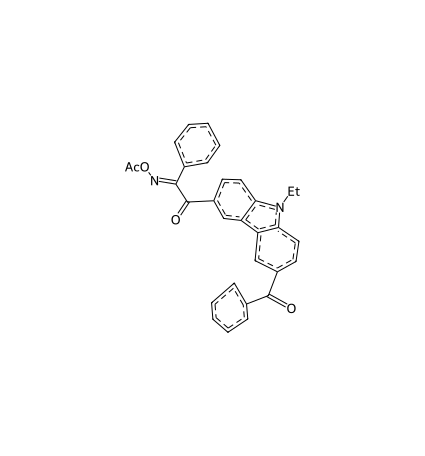 CCn1c2ccc(C(=O)/C(=N/OC(C)=O)c3ccccc3)cc2c2cc(C(=O)c3ccccc3)ccc21